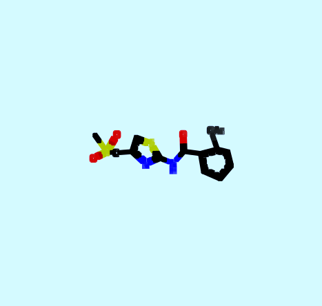 CC(=O)Oc1ccccc1C(=O)Nc1nc(CS(C)(=O)=O)cs1